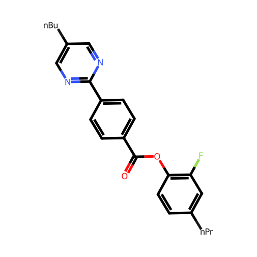 CCCCc1cnc(-c2ccc(C(=O)Oc3ccc(CCC)cc3F)cc2)nc1